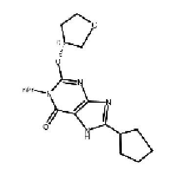 CCCn1c(O[C@@H]2CCOC2)nc2nc(C3CCCC3)[nH]c2c1=O